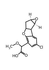 COC(C(=O)O)c1cc(Cl)cc2c1OC1C[C@H]3O[C@H]3C21